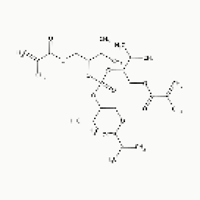 C=C(C)C(=O)OCC(OP(=O)(OC(COC(=O)C(=C)C)C(C)C)OC(COC(=O)C(=C)C)C(C)C)C(C)C